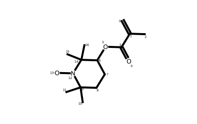 C=C(C)C(=O)OC1CCC(C)(C)N([O])C1(C)C